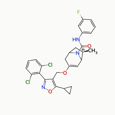 C[C@@H]1CC2CC(OCc3c(-c4c(Cl)cccc4Cl)noc3C3CC3)=CC1N2C(=O)Nc1cccc(F)c1